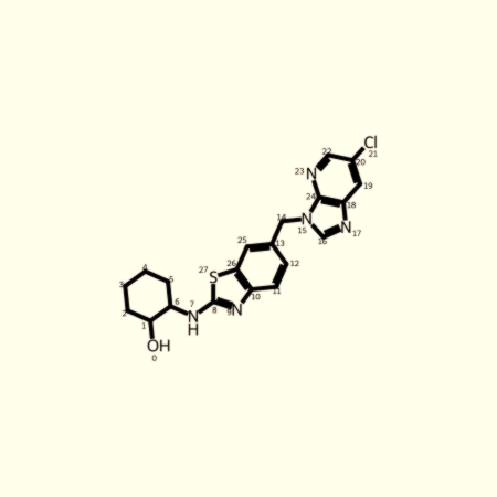 OC1CCCCC1Nc1nc2ccc(Cn3cnc4cc(Cl)cnc43)cc2s1